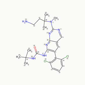 CN(c1ncc2cc(-c3c(Cl)cccc3Cl)c(NC(=O)NC(C)(C)C)nc2n1)C(C)(C)CCN